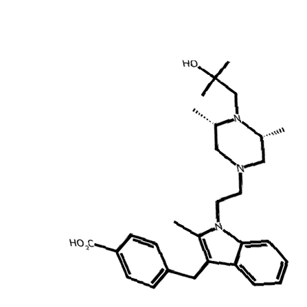 Cc1c(Cc2ccc(C(=O)O)cc2)c2ccccc2n1CCN1C[C@@H](C)N(CC(C)(C)O)[C@@H](C)C1